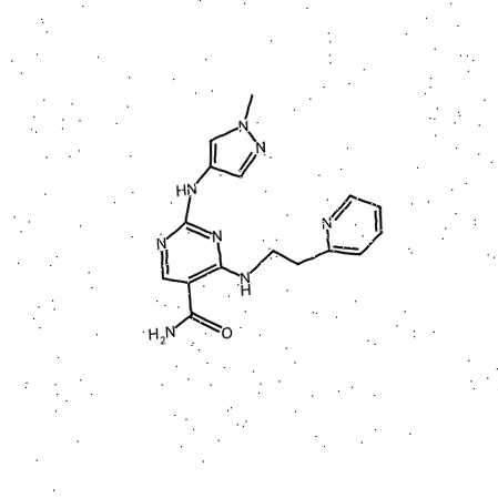 Cn1cc(Nc2ncc(C(N)=O)c(NCCc3ccccn3)n2)cn1